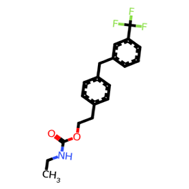 CCNC(=O)OCCc1ccc(Cc2cccc(C(F)(F)F)c2)cc1